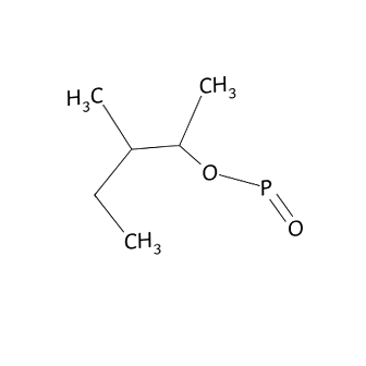 CCC(C)C(C)OP=O